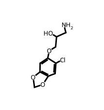 NCC(O)COc1cc2c(cc1Cl)OCO2